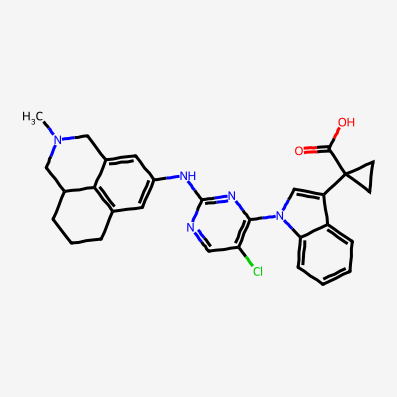 CN1Cc2cc(Nc3ncc(Cl)c(-n4cc(C5(C(=O)O)CC5)c5ccccc54)n3)cc3c2C(CCC3)C1